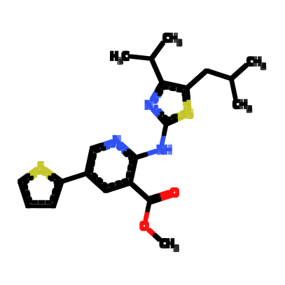 COC(=O)c1cc(-c2cccs2)cnc1Nc1nc(C(C)C)c(CC(C)C)s1